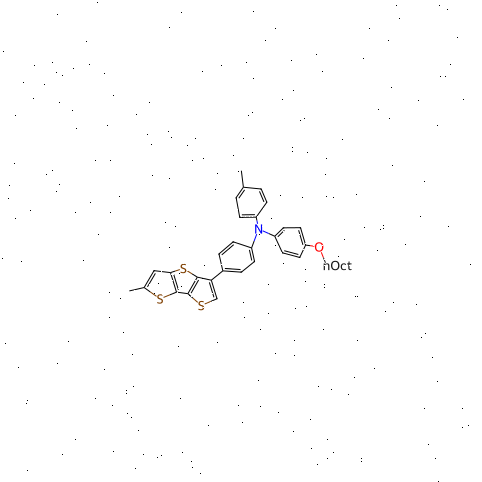 CCCCCCCCOc1ccc(N(c2ccc(C)cc2)c2ccc(-c3csc4c3sc3cc(C)sc34)cc2)cc1